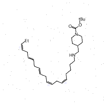 CC/C=C\CC=CCC=CC/C=C\C/C=C\CCCCNCC1CCN(C(=O)OC(C)(C)C)CC1